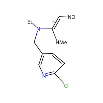 CCN(Cc1ccc(Cl)nc1)/C(=C/N=O)NC